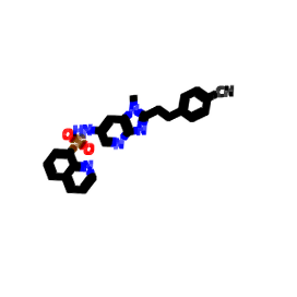 Cn1c(CCc2ccc(C#N)cc2)nc2ncc(NS(=O)(=O)c3cccc4cccnc34)cc21